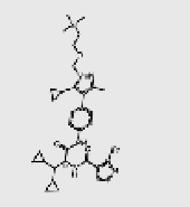 Cc1nn(COCC[Si](C)(C)C)c(C2CC2)c1-c1ccc(NC(=O)[C@@H](NC(=O)c2ccnn2C(C)C)C(C2CC2)C2CC2)cc1